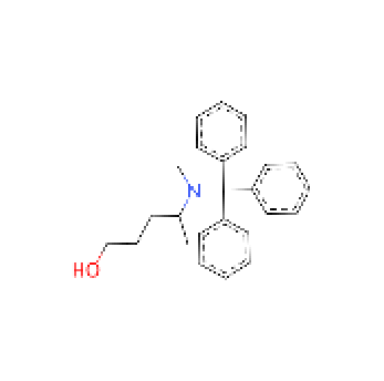 CC(CCCO)N(C)C(c1ccccc1)(c1ccccc1)c1ccccc1